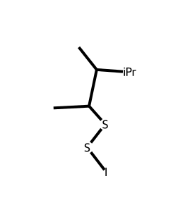 CC(C)C(C)C(C)SSI